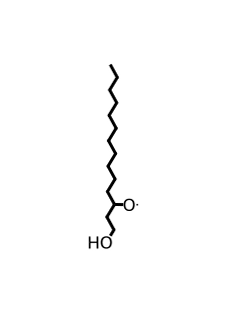 CCCCCCCCCCCC([O])CCO